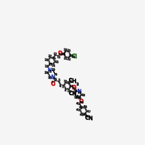 Cc1cc(C=CC(=O)N2CCN(Cc3ccc(CCOc4ccc(Cl)cc4)cc3)CC2)cc(C)c1Oc1ccc(OCc2ccc(C#N)cc2)cn1